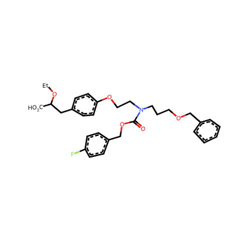 CCOC(Cc1ccc(OCCN(CCCOCc2ccccc2)C(=O)OCc2ccc(F)cc2)cc1)C(=O)O